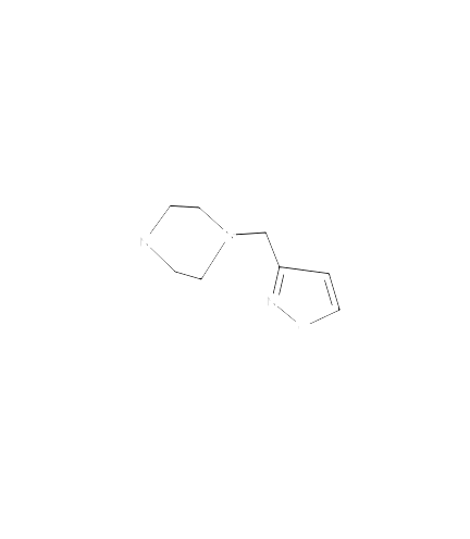 c1cc(CN2CCNCC2)no1